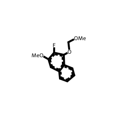 COCOc1c(F)c(OC)cc2ccccc12